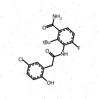 CC(C)(C)c1c(C(N)=O)ccc(F)c1NC(=O)Cc1cc(Cl)ccc1O